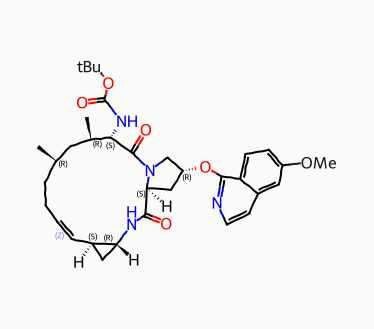 COc1ccc2c(O[C@@H]3C[C@H]4C(=O)N[C@@H]5C[C@H]5/C=C\CC[C@@H](C)C[C@@H](C)[C@H](NC(=O)OC(C)(C)C)C(=O)N4C3)nccc2c1